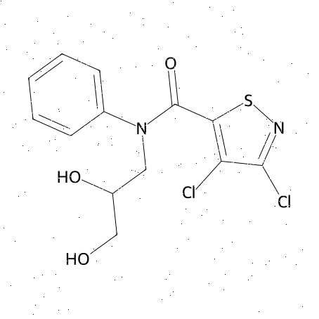 O=C(c1snc(Cl)c1Cl)N(CC(O)CO)c1ccccc1